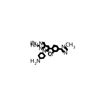 Cc1cncc(-c2ccc(-c3cc4cnc(NC(C)C)nc4n([C@H]4CC[C@H](N)CC4)c3=O)c(Cl)c2)n1